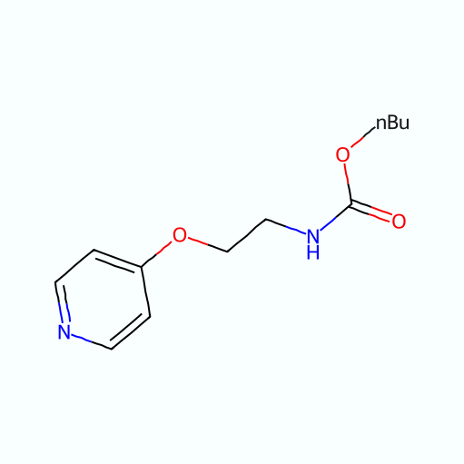 CCCCOC(=O)NCCOc1ccncc1